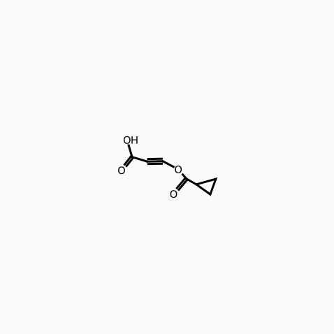 O=C(O)C#COC(=O)C1CC1